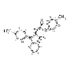 Cc1ccc(-n2c3ccccc3c3cc4c(cc32)oc2cc(C)ccc24)cc1